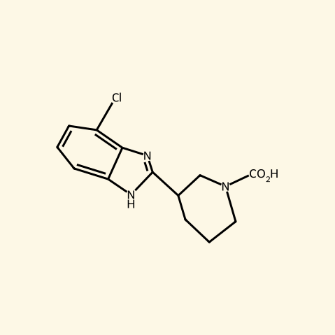 O=C(O)N1CCCC(c2nc3c(Cl)cccc3[nH]2)C1